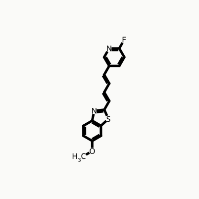 COc1ccc2nc(/C=C/C=C/c3ccc(F)nc3)sc2c1